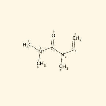 C=CN(C)C(=O)N(C)C